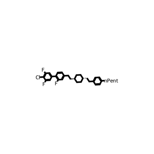 CCCCCc1ccc(CC[C@H]2CC[C@H](CCc3ccc(-c4cc(F)c(Cl)c(F)c4)c(F)c3)CC2)cc1